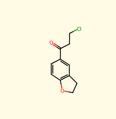 O=C(CCCl)c1ccc2c(c1)CCO2